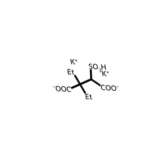 CCC(CC)(C(=O)[O-])C(C(=O)[O-])S(=O)(=O)O.[K+].[K+]